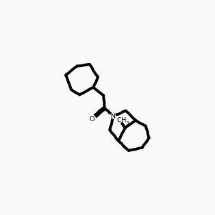 CC1C2CCCCC1CN(C(=O)CC1CCCCCC1)C2